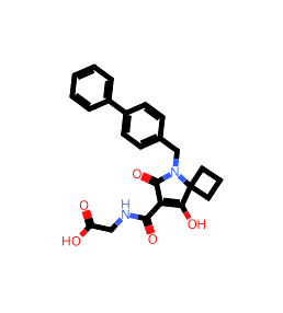 O=C(O)CNC(=O)C1=C(O)C2(CCC2)N(Cc2ccc(-c3ccccc3)cc2)C1=O